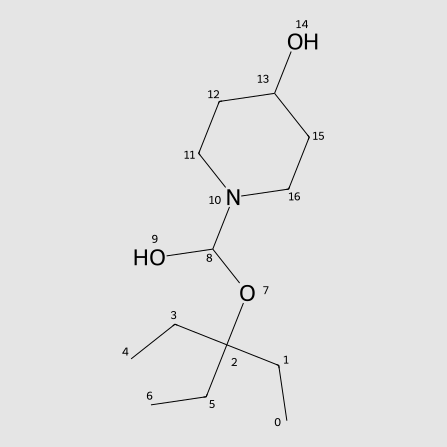 CCC(CC)(CC)OC(O)N1CCC(O)CC1